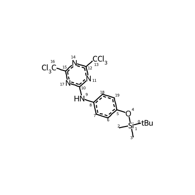 CC(C)(C)[Si](C)(C)Oc1ccc(Nc2nc(C(Cl)(Cl)Cl)nc(C(Cl)(Cl)Cl)n2)cc1